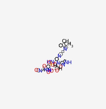 CC(C)c1ccccc1[C@@H]1CCCN1C1CC2(CCN(c3ccc(C(=O)NS(=O)(=O)c4cc5c(c([N+](=O)[O-])c4)N[C@@H](CN4CCOCC4)CO5)c(N4C[C@@H]5CCOC[C@H]5Oc5nc6[nH]ccc6cc54)c3)CC2)C1